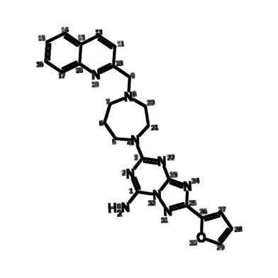 Nc1nc(N2CCCN(Cc3ccc4ccccc4n3)CC2)nc2nc(-c3ccco3)nn12